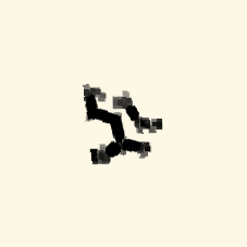 CCN(O)CCN.O=C(O)O